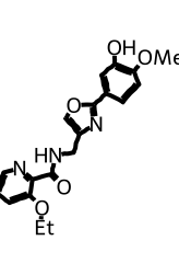 CCOc1cccnc1C(=O)NCc1coc(-c2ccc(OC)c(O)c2)n1